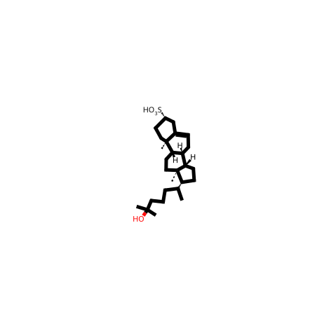 CC(CCCC(C)(C)O)[C@H]1CC[C@H]2[C@@H]3CC=C4C[C@@H](S(=O)(=O)O)CC[C@]4(C)[C@H]3CC[C@]12C